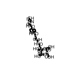 CNC1CC(F)(F)CN1C(=O)CNC(=O)c1ccnc2c(NC(=O)CCC(=O)NCCNC(=O)CCC(C(=O)O)N3CCN(CC(=O)O)CCN(CC(=O)O)CCN(CC(=O)O)CC3)cccc12